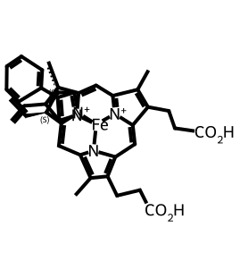 C=Cc1c(C)c2[n]3c1=C(c1ccccc1)C1=[N+]4C(=Cc5c(C)c(CCC(=O)O)c6[n]5[Fe]34[N+]3=C(C=2)C(C)=C(CCC(=O)O)C3=C6)[C@@H](C=C)[C@@H]1C